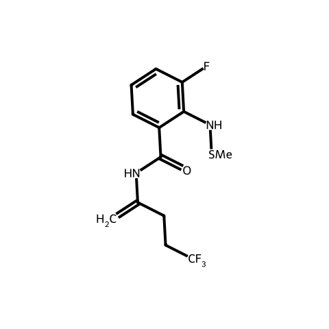 C=C(CCC(F)(F)F)NC(=O)c1cccc(F)c1NSC